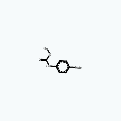 CNc1ccc(NC(=O)OC(C)(C)C)cc1